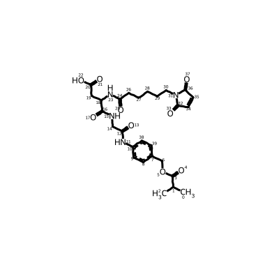 CC(C)C(=O)OCc1ccc(NC(=O)CNC(=O)C(CC(=O)O)NC(=O)CCCCCN2C(=O)C=CC2=O)cc1